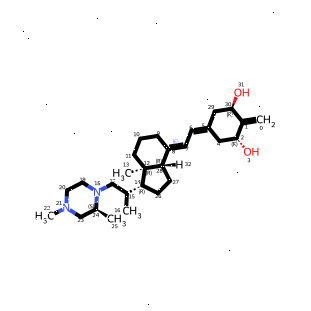 C=C1[C@H](O)CC(=C/C=C2\CCC[C@]3(C)[C@@H](C(C)CN4CCN(C)C[C@@H]4C)CC[C@@H]23)C[C@H]1O